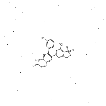 N#Cc1cccc(-c2nc3[nH]c(=O)ccc3cc2-c2cc(Cl)c3c(c2)CCS3(=O)=O)c1